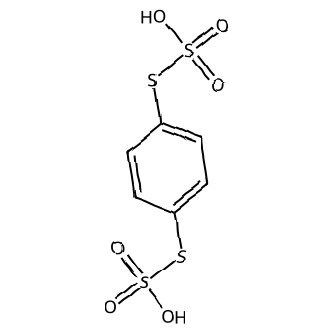 O=S(=O)(O)Sc1ccc(SS(=O)(=O)O)cc1